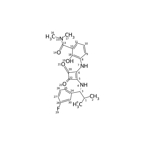 CC(C)[C@@H](Nc1c(Nc2cccc(C(=O)N(C)C)c2O)c(=O)c1=O)c1cccc(F)c1